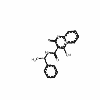 C[C@@H](NC(=O)c1c(O)n2ccccc2nc1=O)c1ccccc1